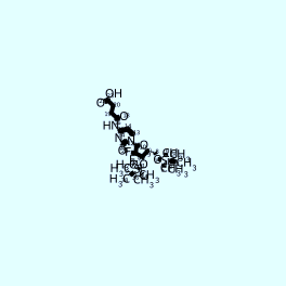 CC(C)(C)[Si](C)(C)OC[C@H]1O[C@@H](n2ccc(NC(=O)CCC(=O)O)nc2=O)C(F)(F)[C@@H]1O[Si](C)(C)C(C)(C)C